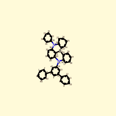 c1ccc(-c2cc(-c3ccccc3)cc(N3c4ccccc4B4c5ccccc5N(c5ccccc5)c5cccc3c54)c2)cc1